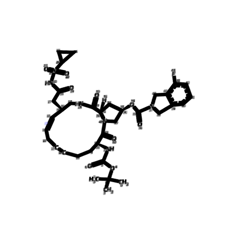 CC(C)(C)OC(=O)N[C@H]1CCCCC/C=C\[C@@H](CC(=O)NS(=O)(=O)C2CC2)CNC(=O)[C@@H]2C[C@@H](OC(=O)N3Cc4cccc(F)c4C3)CN2C1=O